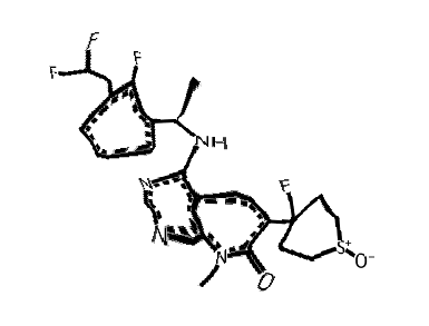 C[C@@H](Nc1ncnc2c1cc(C1(F)CC[S+]([O-])CC1)c(=O)n2C)c1cccc(C(F)F)c1F